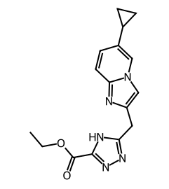 CCOC(=O)c1nnc(Cc2cn3cc(C4CC4)ccc3n2)[nH]1